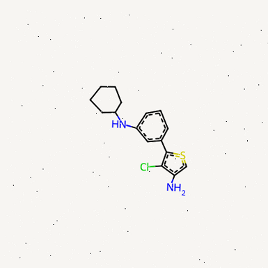 Nc1csc(-c2cccc(NC3CCCCC3)c2)c1Cl